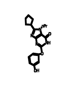 CCCn1c(C2CCCC2)nc2nc(Oc3cccc(O)c3)[nH]c(=O)c21